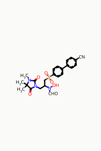 CN1C(=O)N(CC(CS(=O)(=O)c2ccc(-c3ccc(C#N)cc3)cc2)N(O)C=O)C(=O)C1(C)C